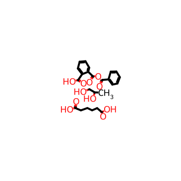 CC(O)CO.O=C(O)CCCCC(=O)O.O=C(OC(=O)c1ccccc1C(=O)O)c1ccccc1